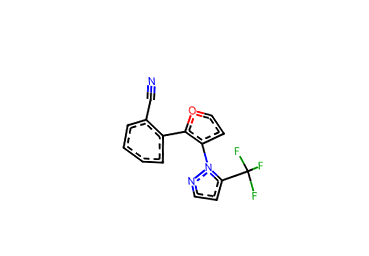 N#Cc1ccccc1-c1occc1-n1nccc1C(F)(F)F